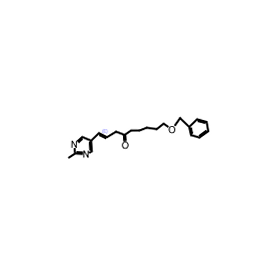 Cc1ncc(/C=C/CC(=O)CCCCCOCc2ccccc2)cn1